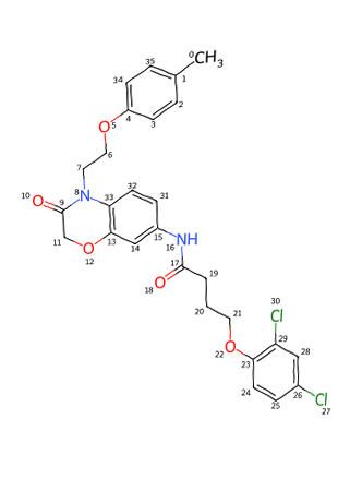 Cc1ccc(OCCN2C(=O)COc3cc(NC(=O)CCCOc4ccc(Cl)cc4Cl)ccc32)cc1